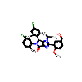 COc1ccc(CO)cc1-c1nc2c(n1C(C)C)[C@H](c1ccc(Cl)cc1C)N(c1cc(Cl)ccc1C)C2=O